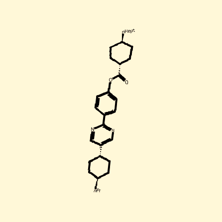 CCCCCCC[C@H]1CC[C@H](C(=O)Oc2ccc(-c3ncc([C@H]4CC[C@H](CCC)CC4)cn3)cc2)CC1